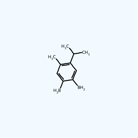 Bc1cc(C)c(C(C)C)cc1B